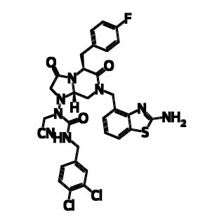 N#CCN(C(=O)NCc1ccc(Cl)c(Cl)c1)N1CC(=O)N2[C@@H](Cc3ccc(F)cc3)C(=O)N(Cc3cccc4sc(N)nc34)C[C@@H]21